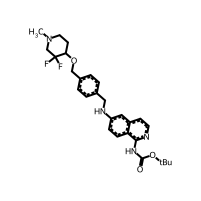 CN1CCC(OCc2ccc(CNc3ccc4c(NC(=O)OC(C)(C)C)nccc4c3)cc2)C(F)(F)C1